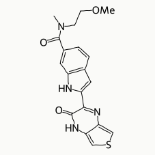 COCCN(C)C(=O)c1ccc2cc(-c3nc4cscc4[nH]c3=O)[nH]c2c1